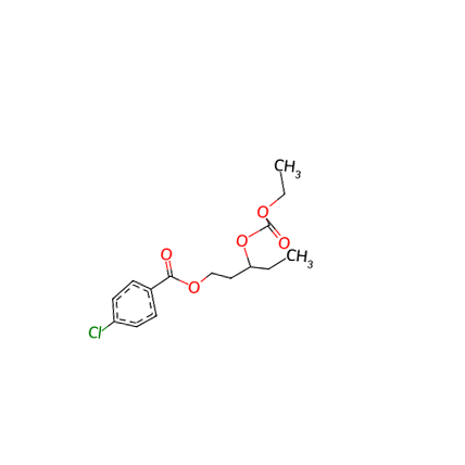 CCOC(=O)OC(CC)CCOC(=O)c1ccc(Cl)cc1